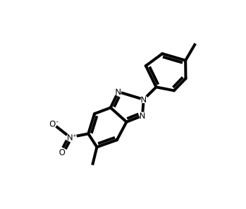 Cc1ccc(-n2nc3cc(C)c([N+](=O)[O-])cc3n2)cc1